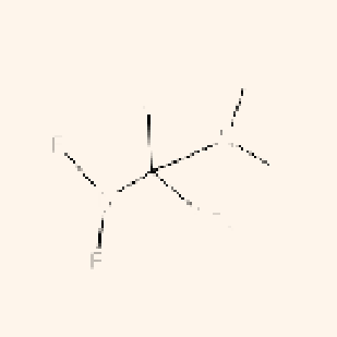 FN(F)C(N(F)F)(C(F)(F)F)C(F)(F)F